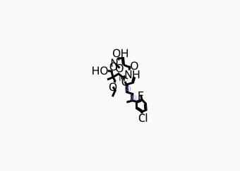 C=C/C(=C\C=C(/C)c1cc(Cl)ccc1F)C[C@H](CC(C)(COCC)C(=O)O)NC(=O)c1cc(O)no1